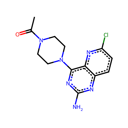 CC(=O)N1CCN(c2nc(N)nc3ccc(Cl)nc23)CC1